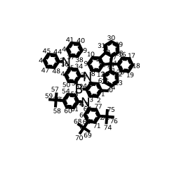 Cc1cc2c3c(c1)N(c1ccc4c(c1)C(c1ccccc1)(c1ccccc1)c1ccccc1-4)c1cc(N(c4ccccc4)c4ccccc4)ccc1B3c1cc(C(C)(C)C)ccc1N2c1cc(C(C)(C)C)cc(C(C)(C)C)c1